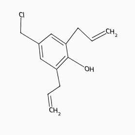 C=CCc1cc(CCl)cc(CC=C)c1O